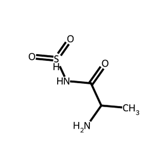 CC(N)C(=O)N[SH](=O)=O